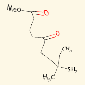 COC(=O)CC(=O)CC(C)(C)[SiH3]